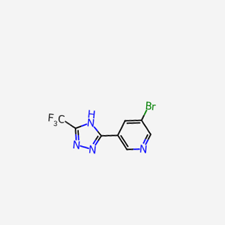 FC(F)(F)c1nnc(-c2cncc(Br)c2)[nH]1